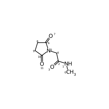 CNC(=O)CN1C(=O)CCC1=O